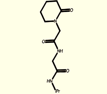 CC(C)NC(=O)CNC(=O)CN1CCCCC1=O